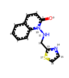 O=c1ccc2ccccc2n1NCc1nccs1